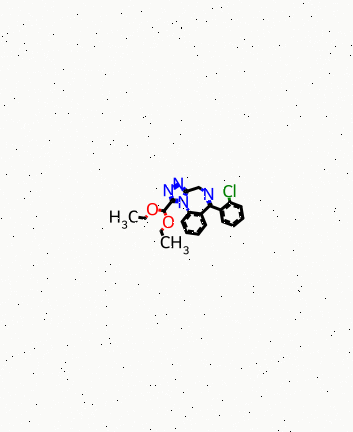 CCOC(OCC)c1nnc2n1-c1ccccc1C(c1ccccc1Cl)=NC2